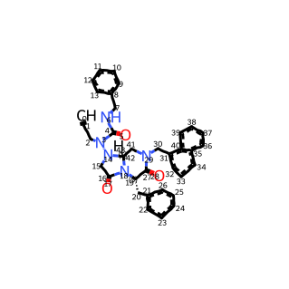 C#CCN(C(=O)NCc1ccccc1)N1CC(=O)N2[C@@H](Cc3ccccc3)C(=O)N(Cc3cccc4ccccc34)C[C@@H]21